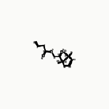 C=CCC(=O)OCC(=O)[C@@]1(C)CC=CC1(C)C